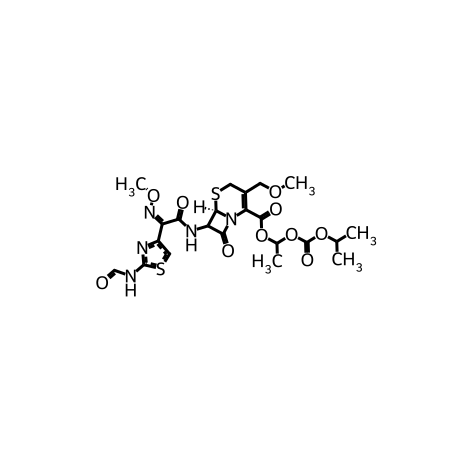 COCC1=C(C(=O)OC(C)OC(=O)OC(C)C)N2C(=O)C(NC(=O)/C(=N\OC)c3csc(NC=O)n3)[C@H]2SC1